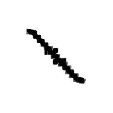 [N-]=[N+]=NCCOCCOCCNC(=O)CCC(=O)NCCOCCOCCN=[N+]=[N-]